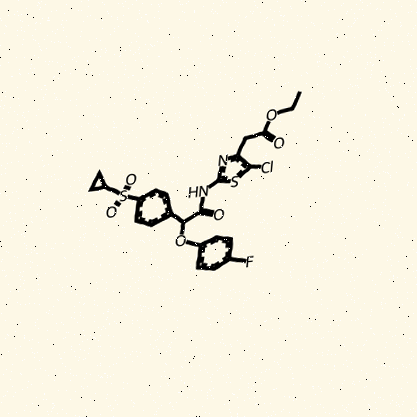 CCOC(=O)Cc1nc(NC(=O)C(Oc2ccc(F)cc2)c2ccc(S(=O)(=O)C3CC3)cc2)sc1Cl